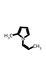 C/C=C\n1cccc1C